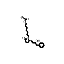 CCCC(=O)OCCCCCCCN1C(=O)CC[C@@H]1/C=C/[C@@H](O)Cc1ccccc1